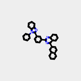 c1ccc(-n2c(-c3cccc(-c4nc(-c5ccc6ccccc6c5)c5ccccc5n4)c3)nc3ccccc32)cc1